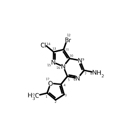 Cc1ccc(-c2nc(N)nc3c(Br)c(Cl)nn23)o1